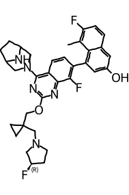 Cc1c(F)ccc2cc(O)cc(-c3ccc4c(N5CC6CCC(C5)N6)nc(OCC5(CN6CC[C@@H](F)C6)CC5)nc4c3F)c12